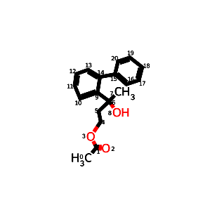 CC(=O)OCCC(C)(O)c1ccccc1-c1ccccc1